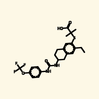 CCc1cc2c(cc1SC(C)(C)C(=O)O)CCC(NC(=O)Nc1ccc(OC(F)(F)F)cc1)C2